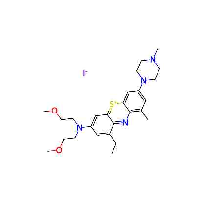 CCc1cc(N(CCOC)CCOC)cc2[s+]c3cc(N4CCN(C)CC4)cc(C)c3nc12.[I-]